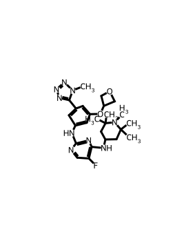 CN1C(C)(C)CC(Nc2nc(Nc3cc(OC4COC4)cc(-c4nnnn4C)c3)ncc2F)CC1(C)C